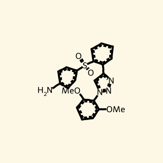 COc1cccc(OC)c1-n1cc(-c2ccccc2S(=O)(=O)c2ccc(N)cc2)nn1